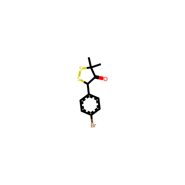 CC1(C)SSC(c2ccc(Br)cc2)C1=O